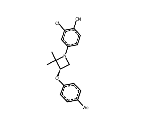 CC(=O)c1ccc(O[C@@H]2CN(c3ccc(C#N)c(Cl)c3)C2(C)C)cc1